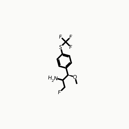 CO[C@H](c1ccc(SC(F)(F)F)cc1)C(N)CF